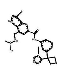 CC1CC(c2cccc(NC(=O)c3cc(CN[C@@H](C)C(C)C)c4[nH]cc(F)c4n3)c2)(c2nncn2C)C1